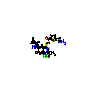 Cc1nc(SCC(=O)c2ccc(CN)s2)c2cc(NCC3CC3)ccc2n1.Cl